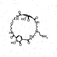 NCCN1CCNC(=O)c2ccc(n(O)c2=O)C(=O)NCCOCCNC(=O)c2ccc(c(=O)n2O)C(=O)NCC1